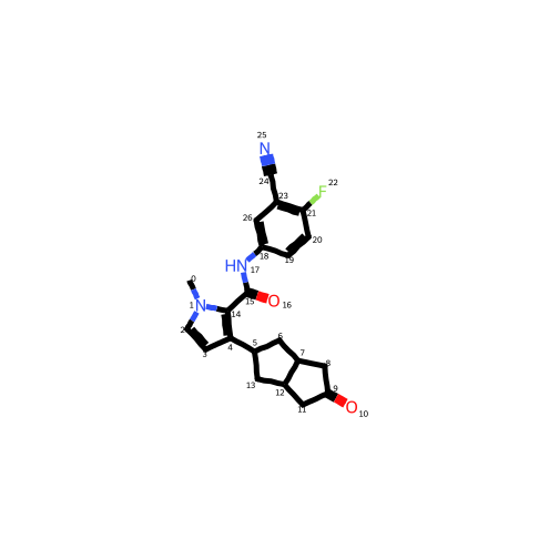 Cn1ccc(C2CC3CC(=O)CC3C2)c1C(=O)Nc1ccc(F)c(C#N)c1